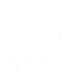 CCN(CC)c1ccc2nc3c4ccccc4/c(=N/c4cc(C)nc5ccccc45)cc-3oc2c1